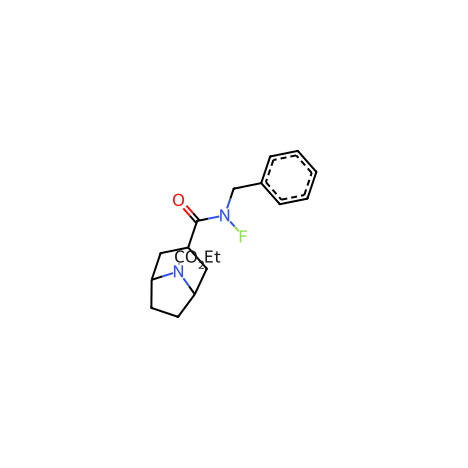 CCOC(=O)N1C2CCC1CC(C(=O)N(F)Cc1ccccc1)C2